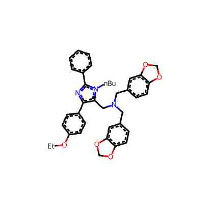 CCCCn1c(-c2ccccc2)nc(-c2ccc(OCC)cc2)c1CN(Cc1ccc2c(c1)OCO2)Cc1ccc2c(c1)OCO2